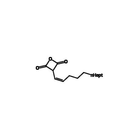 CCCCCCCCCC/C=C\C1C(=O)OC1=O